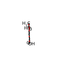 C=CCCCCNC(=O)CCCCCCCCCCCCCCCCC(=O)O